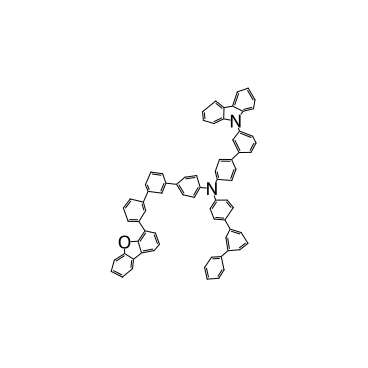 c1ccc(-c2cccc(-c3ccc(N(c4ccc(-c5cccc(-c6cccc(-c7cccc8c7oc7ccccc78)c6)c5)cc4)c4ccc(-c5cccc(-n6c7ccccc7c7ccccc76)c5)cc4)cc3)c2)cc1